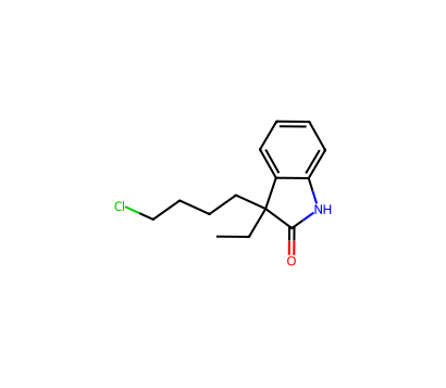 CCC1(CCCCCl)C(=O)Nc2ccccc21